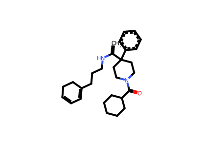 C=C(NCCCC1=CC=CCC1)C1(c2ccccc2)CCN(C(=O)C2CCCCC2)CC1